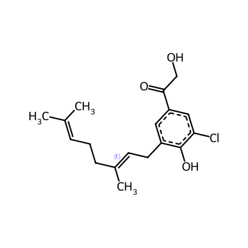 CC(C)=CCC/C(C)=C/Cc1cc(C(=O)CO)cc(Cl)c1O